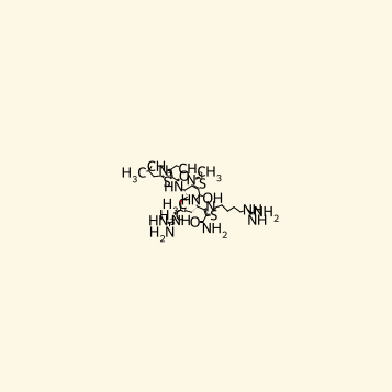 CCc1nc(CC(C)C)sc1C(=O)N[C@@H](CCCCNC(=N)N)c1nc(C)sc1C(O)N[C@@H](CC(C)C)c1nc(CCCCNC(=N)N)sc1C(N)=O